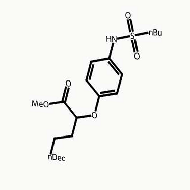 CCCCCCCCCCCCC(Oc1ccc(NS(=O)(=O)CCCC)cc1)C(=O)OC